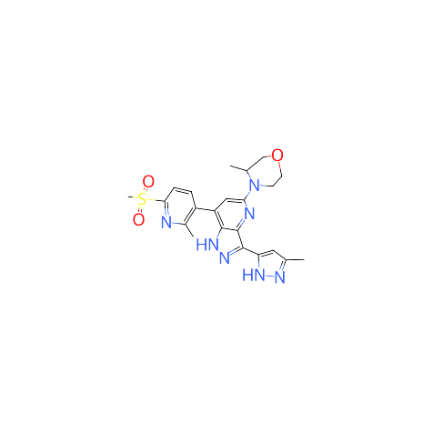 Cc1cc(-c2n[nH]c3c(-c4ccc(S(C)(=O)=O)nc4C)cc(N4CCOCC4C)nc23)[nH]n1